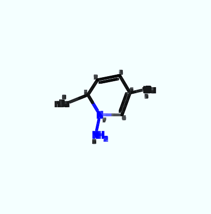 CCCCC1C=CC(C(C)(C)C)=CN1N